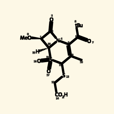 CO[C@H]1C(=O)N2C(C(=O)C(C)(C)C)=C(C)C(SCC(=O)O)S(=O)(=O)[C@@H]12